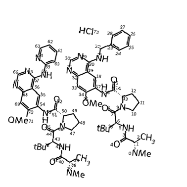 CN[C@@H](C)C(=O)N[C@H](C(=O)N1CCC[C@H]1C(=O)Nc1cc2c(NCc3ccccc3)ncnc2cc1OC)C(C)(C)C.CN[C@@H](C)C(=O)N[C@H](C(=O)N1CCC[C@H]1C(=O)Nc1cc2c(Nc3ccccn3)ncnc2cc1OC)C(C)(C)C.Cl